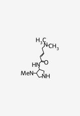 CNC1CNC[C@@H]1NC(=O)/C=C/CN(C)C